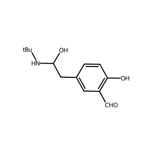 CC(C)(C)NC(O)Cc1ccc(O)c(C=O)c1